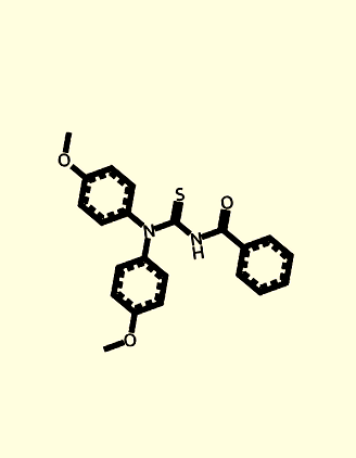 COc1ccc(N(C(=S)NC(=O)c2ccccc2)c2ccc(OC)cc2)cc1